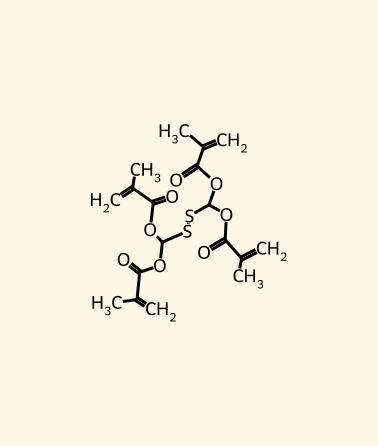 C=C(C)C(=O)OC(OC(=O)C(=C)C)SSC(OC(=O)C(=C)C)OC(=O)C(=C)C